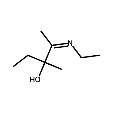 CCN=C(C)C(C)(O)CC